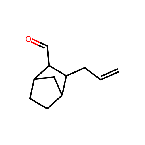 C=CCC1C2CCC(C2)C1C=O